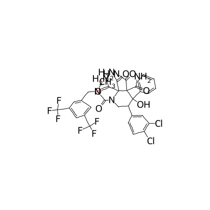 CN(Cc1cc(C(F)(F)F)cc(C(F)(F)F)c1)C(=O)N1CC(c2ccc(Cl)c(Cl)c2)C(O)(c2ccccc2)C(C(N)=O)(C(N)=O)C1(C(N)=O)C(N)=O